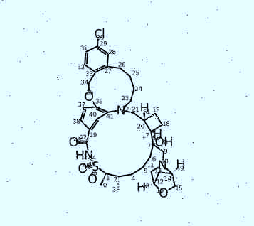 C[C@@H]1[C@@H](C)CCCC(O)(CN2C[C@H]3C[C@@H]2CO3)[C@@H]2CC[C@H]2CN2CCCCc3cc(Cl)ccc3COc3ccc(cc32)C(=O)NS1(=O)=O